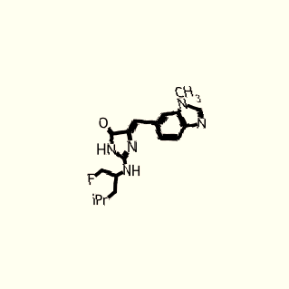 CC(C)CC(CF)NC1=N/C(=C\c2ccc3ncn(C)c3c2)C(=O)N1